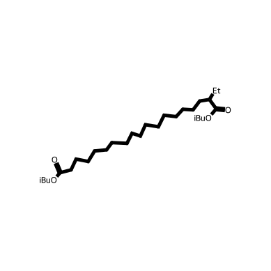 CCC(CCCCCCCCCCCCCCCCC(=O)OCC(C)C)C(=O)OCC(C)C